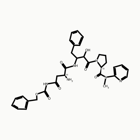 CN(C(=O)[C@@H]1CCCN1C(=O)C(O)C(Cc1ccccc1)NC(=O)[C@@H](N)CC(=O)NC(=O)OCc1ccccc1)c1ccccn1